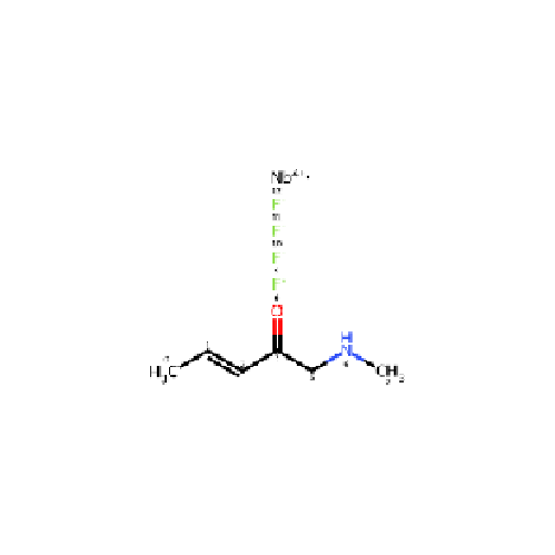 CC=CC(=O)CNC.[F-].[F-].[F-].[F-].[Nb+4]